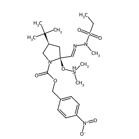 CCS(=O)(=O)N(C)N=C[C@@]1(O[SiH](C)C)C[C@H](C(C)(C)C)CN1C(=O)OCc1ccc([N+](=O)[O-])cc1